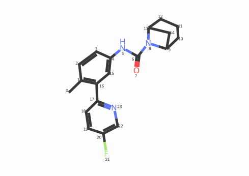 Cc1ccc(NC(=O)N2C3CCCC2C3)cc1-c1ccc(F)cn1